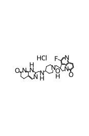 Cl.O=C1CCC2=CN=C(CNC3CCN(C[C@]4(O)Cn5c(=O)ccc6ncc(F)c4c65)CC3)NC2=N1